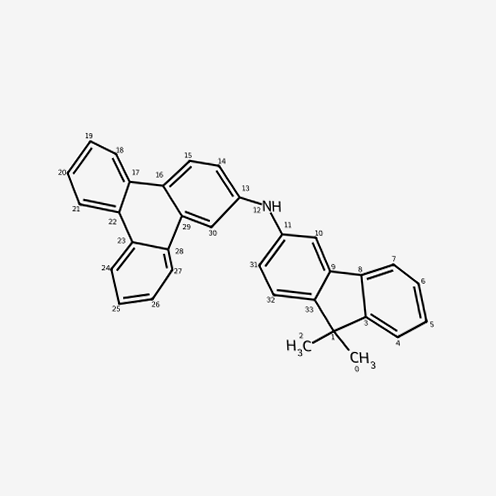 CC1(C)c2ccccc2-c2cc(Nc3ccc4c5ccccc5c5ccccc5c4c3)ccc21